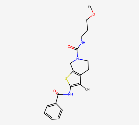 CCOCCCNC(=O)N1CCc2c(sc(NC(=O)c3ccccc3)c2C#N)C1